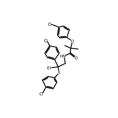 CCC(CNC(=O)C(C)(C)Oc1ccc(Cl)cc1)(Sc1ccc(Cl)cc1)c1ccc(Cl)cc1